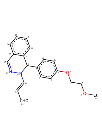 CCOCCOc1ccc(C2c3ccccc3C=NN2C=CC=O)cc1